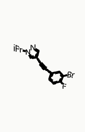 CC(C)n1cc(C#Cc2ccc(F)c(Br)c2)cn1